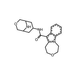 O=C(NC1CC2COCC(C1)N2)c1c2n(c3ccccc13)CCOCC2